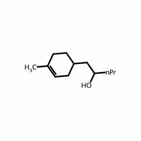 CCCC(O)CC1CC=C(C)CC1